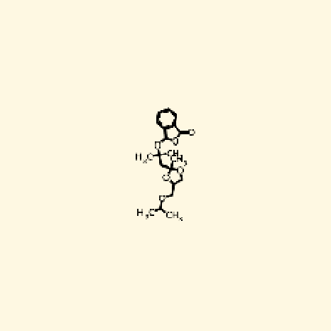 CC(C)OCC1COC(C)(CC(C)(C)OC2OC(=O)c3ccccc32)O1